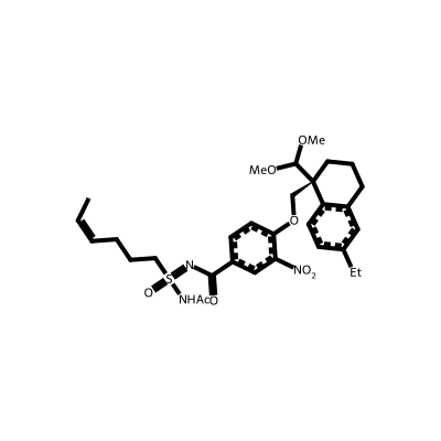 C/C=C\CCCS(=O)(=NC(=O)c1ccc(OC[C@@]2(C(OC)OC)CCCc3cc(CC)ccc32)c([N+](=O)[O-])c1)NC(C)=O